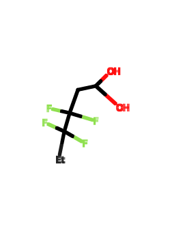 CCC(F)(F)C(F)(F)CC(O)O